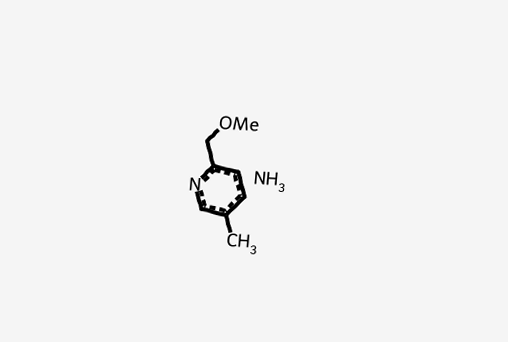 COCc1ccc(C)cn1.N